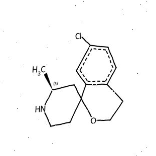 C[C@H]1CC2(CCN1)OCCc1ccc(Cl)cc12